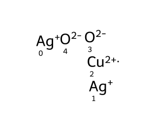 [Ag+].[Ag+].[Cu+2].[O-2].[O-2]